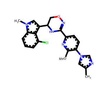 COc1nc(C2=NOCC(c3cn(C)c4cccc(Cl)c34)N2)ccc1-n1cnc(C)c1